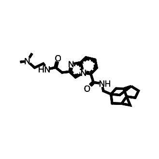 CN(C)CCNC(=O)Cc1cn2c(C(=O)NCC34CC5CCC6(CC6C3)C5C4)cccc2n1